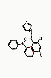 Clc1ccc(C(Cn2ccnc2)OB(c2ccccc2)c2ccccc2)c(Cl)c1